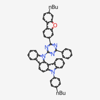 CCCCc1ccc(-n2c3ccccc3c3c2ccc2c4ccccc4n(-c4nc(-c5ccccc5)nc(-c5ccc6c(c5)oc5cc(CCCC)ccc56)n4)c23)cc1